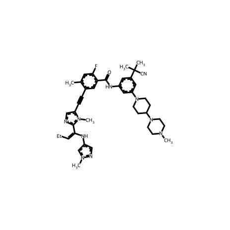 CC/C=C(/Nc1cnn(C)c1)c1ncc(C#Cc2cc(C(=O)Nc3cc(N4CCC(N5CCN(C)CC5)CC4)cc(C(C)(C)C#N)c3)c(F)cc2C)n1C